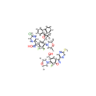 CSc1cnc(-c2noc3c(F)c(N4C[C@@H](C)O[C@@H](C)C4)c(CO)cc23)cn1.C[C@@H]1CN(c2c(CO[Si](c3ccccc3)(c3ccccc3)C(C)(C)C)cc(C(=NO)c3cnc(Cl)cn3)c(F)c2F)C[C@H](C)O1